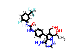 CC(O)c1c(CO)c(-c2ccc(NC(=O)Nc3cc(C(F)(F)F)ccc3F)cc2)c2c(N)ncnn12